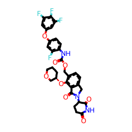 O=C1CCC(N2Cc3ccc(COC(=O)Nc4ccc(Oc5cc(F)c(F)c(F)c5)cc4F)c(O[C@@H]4CCCOC4)c3C2=O)C(=O)N1